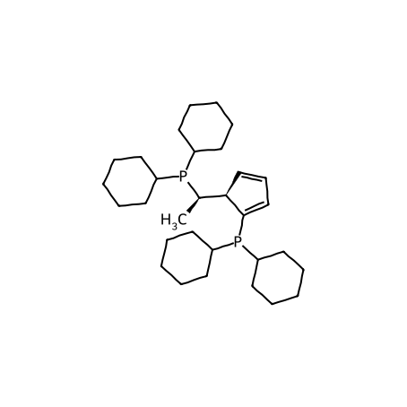 C[C@H]([C@H]1C=CC=C1P(C1CCCCC1)C1CCCCC1)P(C1CCCCC1)C1CCCCC1